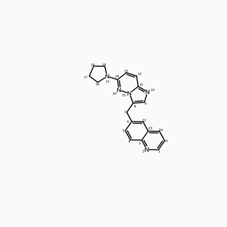 c1cnc2ccc(Cc3cnc4ccc(N5CCCC5)nn34)cc2c1